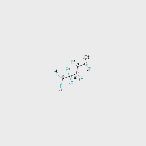 [CH2]CC(F)C(F)[C@H](F)C(F)(F)C(F)F